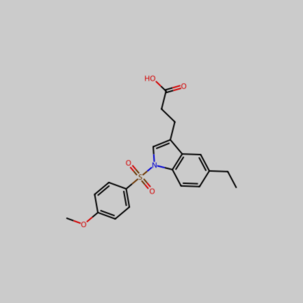 CCc1ccc2c(c1)c(CCC(=O)O)cn2S(=O)(=O)c1ccc(OC)cc1